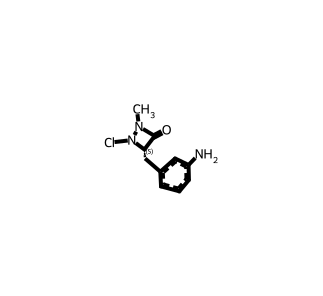 CN1C(=O)[C@H](Cc2cccc(N)c2)N1Cl